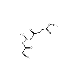 C=CC(=O)OC(C)OC(=O)CCC(=O)OC